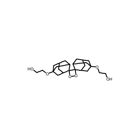 OCCOC12CC3CC(C1)C1(OOC14C1CC5CC4CC(OCCO)(C5)C1)C(C3)C2